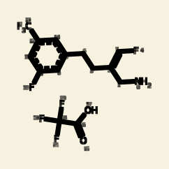 NCC(=CF)CCc1cc(F)cc(C(F)(F)F)c1.O=C(O)C(F)(F)F